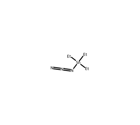 C[CH2][Sn]([CH2]C)([CH2]C)[N]=[N+]=[N-]